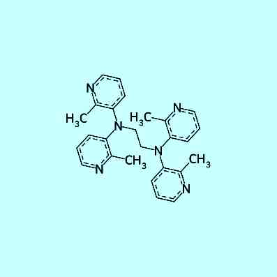 Cc1ncccc1N(CCN(c1cccnc1C)c1cccnc1C)c1cccnc1C